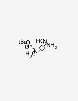 CN(CCCC(=O)OC(C)(C)C)Cc1ccc(/C(N)=N\O)cc1